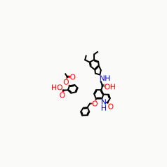 CC(=O)Oc1ccccc1C(=O)O.CCc1cc2c(cc1CC)CC(NC[C@H](O)c1ccc(OCc3ccccc3)c3[nH]c(=O)ccc13)C2